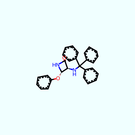 O=C1N[C@@H](Oc2ccccc2)[C@@H]1NC(c1ccccc1)(c1ccccc1)c1ccccc1